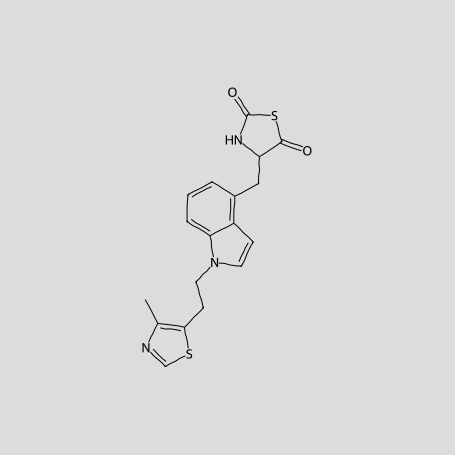 Cc1ncsc1CCn1ccc2c(CC3NC(=O)SC3=O)cccc21